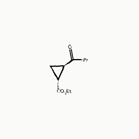 CCCC(=O)[C@@H]1C[C@H]1C(=O)OCC